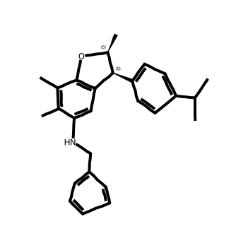 Cc1c(NCc2ccccc2)cc2c(c1C)O[C@@H](C)[C@H]2c1ccc(C(C)C)cc1